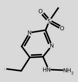 [CH2]Cc1cnc(S(C)(=O)=O)nc1NN